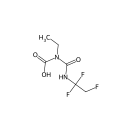 CCN(C(=O)O)C(=O)NC(F)(F)CF